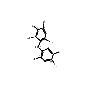 Cc1cc(Bc2c(F)cc(F)c(C)c2F)c(F)cc1F